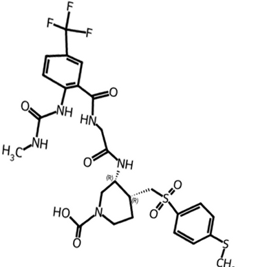 CNC(=O)Nc1ccc(C(F)(F)F)cc1C(=O)NCC(=O)N[C@H]1CN(C(=O)O)CC[C@H]1CS(=O)(=O)c1ccc(SC)cc1